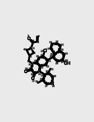 C=CC(=O)N1CC(Cn2c(=O)c(=O)n(-c3c(C)cncc3C)c3cc(-c4cc(O)cc5ccccc45)c(Cl)cc32)C1